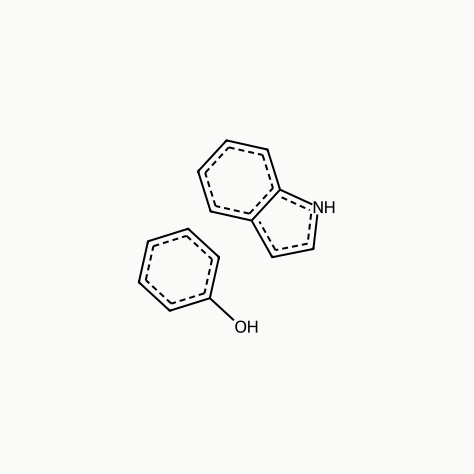 Oc1ccccc1.c1ccc2[nH]ccc2c1